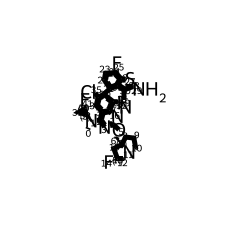 CN(c1nc(OC[C@@]23CCCN2C[C@H](F)C3)nc2c(F)c(-c3ccc(F)c4sc(N)c(C#N)c34)c(Cl)cc12)[C@H]1C[C@@H]1F